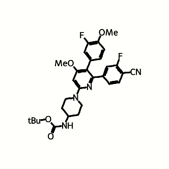 COc1ccc(-c2c(OC)cc(N3CCC(NC(=O)OC(C)(C)C)CC3)nc2-c2ccc(C#N)c(F)c2)cc1F